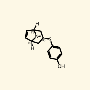 CN1[C@@H]2C=C[C@H]1C[C@H](Sc1ccc(O)cc1)C2